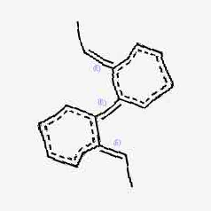 C\C=c1/cccc/c1=c1/cccc/c1=C\C